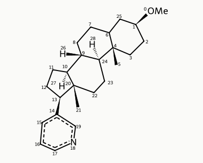 CO[C@H]1CC[C@@]2(C)C(CC[C@H]3[C@@H]4CC[C@H](c5cccnc5)[C@@]4(C)CC[C@@H]32)C1